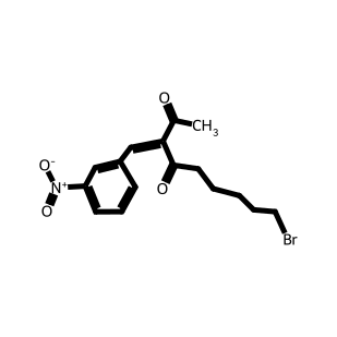 CC(=O)C(=Cc1cccc([N+](=O)[O-])c1)C(=O)CCCCCBr